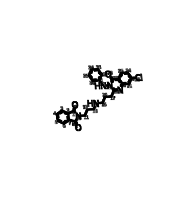 O=C1c2ccccc2C(=O)N1CCCNCCCc1nc2cc(Cl)ccc2c(=O)n1Nc1ccccc1